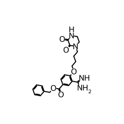 N=C(N)c1cc(C(=O)OCc2ccccc2)ccc1OCCCCN1CCNC(=O)C1=O